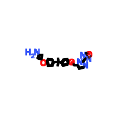 CC(C)(c1ccc(OCc2ccnc(-c3ncon3)n2)cc1)c1ccc(OC2CC(N)C2)cc1